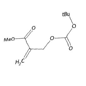 C=C(COC(=O)OC(C)(C)C)C(=O)OC